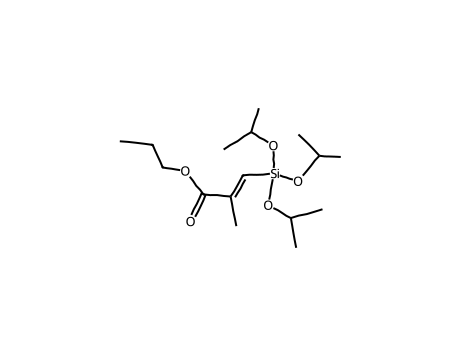 CCCOC(=O)C(C)=C[Si](OC(C)C)(OC(C)C)OC(C)C